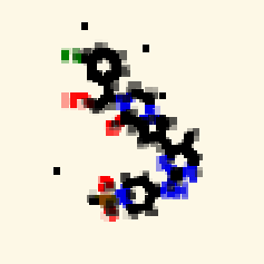 Cc1cnc(NC2CCN(S(C)(=O)=O)CC2)nc1-c1cc2n(c1)CCN(C(CO)c1cccc(Cl)c1)C2=O